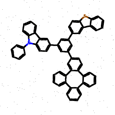 c1ccc(-n2c3ccccc3c3cc(-c4cc(-c5ccc6c(c5)-c5ccccc5-c5ccccc5-c5ccccc5-6)cc(-c5ccc6sc7ccccc7c6c5)c4)ccc32)cc1